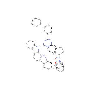 c1ccc(-c2cccc(-c3nc(-c4cccc(-c5ccccc5)c4)nc(-n4c5ccccc5c5ccc6c7ccccc7n(-c7ccccc7-c7nc8ccccc8o7)c6c54)n3)c2)cc1